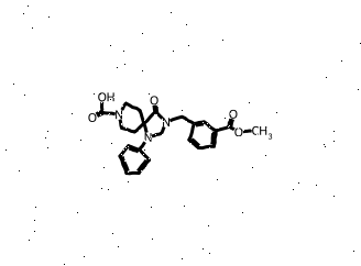 COC(=O)c1cccc(CN2CN(c3ccccc3)C3(CCN(C(=O)O)CC3)C2=O)c1